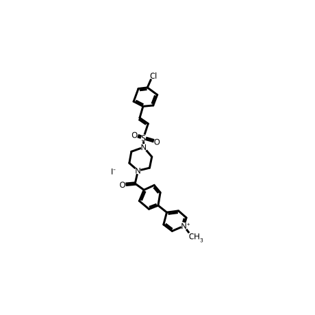 C[n+]1ccc(-c2ccc(C(=O)N3CCN(S(=O)(=O)/C=C/c4ccc(Cl)cc4)CC3)cc2)cc1.[I-]